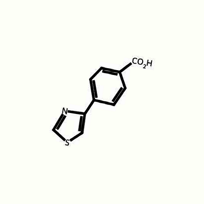 O=C(O)c1ccc(-c2cscn2)cc1